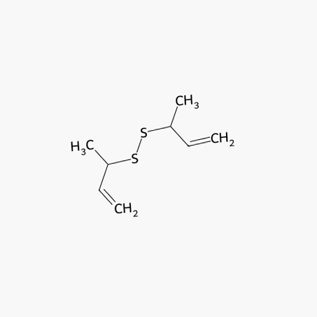 C=CC(C)SSC(C)C=C